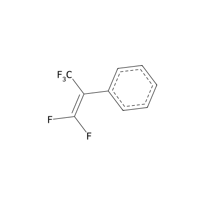 FC(F)=C(c1ccccc1)C(F)(F)F